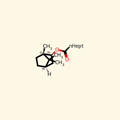 CCCCCCCC(=O)O[C@H]1C[C@H]2CC[C@@]1(C)C2(C)C